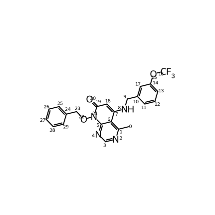 Cc1ncnc2c1c(NCc1cccc(OC(F)(F)F)c1)cc(=O)n2OCc1ccccc1